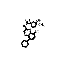 C=C(Nc1cnc2c(C3CCCCC3)ccc(CC)c2n1)N1CC[C@](C)(O)C1